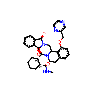 CNC(=O)[C@H]1CCCC[C@H]1C(=O)N1CCc2cccc(OCc3cnccn3)c2C1CN1C(=O)c2ccccc2C1=O